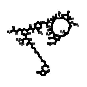 COc1cc2cc(c1Cl)N(C)C(=O)C[C@H](OC(O)Nc1ccc(NC(=O)[C@H](CCCNC(N)=O)NC(=O)[C@@H](NC(=S)NCCOCCOCCC(=O)ON3C(=O)CCC3=O)C(C)C)c(C)c1)[C@]1(C)O[C@H]1[C@H](C)[C@@H]1C[C@@](O)(NC(=O)O1)[C@H](OC)/C=C/C=C(\C)C2